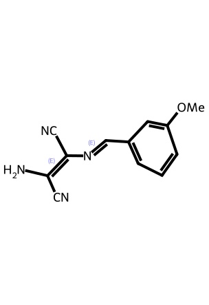 COc1cccc(/C=N/C(C#N)=C(/N)C#N)c1